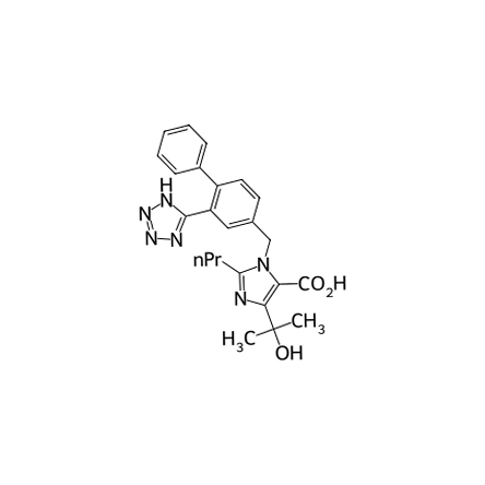 CCCc1nc(C(C)(C)O)c(C(=O)O)n1Cc1ccc(-c2ccccc2)c(-c2nnn[nH]2)c1